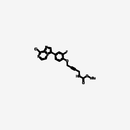 CCCCOC(=O)NCC#CCOc1ccc(-c2cnc3c(Cl)nccn23)cc1F